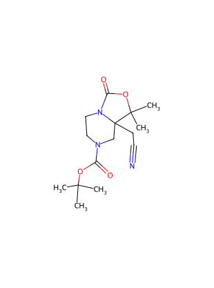 CC(C)(C)OC(=O)N1CCN2C(=O)OC(C)(C)C2(CC#N)C1